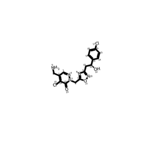 NCc1cnn(Cc2nc(C[C@H](O)c3ccc(Cl)cc3)no2)c(=O)c1Cl